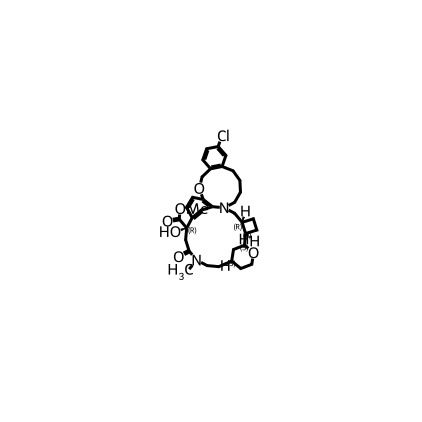 COC(=O)[C@@]1(O)CC(=O)N(C)CC[C@H]2CCO[C@@H](C2)[C@@H]2CC[C@H]2CN2CCCCc3cc(Cl)ccc3COc3ccc1cc32